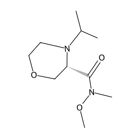 CON(C)C(=O)[C@@H]1COCCN1C(C)C